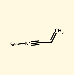 C=CC#[N+][Se-]